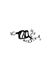 CC(=O)OC(C)(C)C1CC2CC1C1C3CC(C#N)C(C3)C21